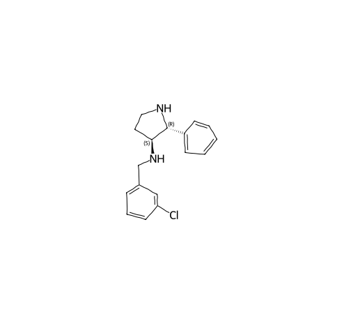 Clc1cccc(CN[C@H]2CCN[C@@H]2c2ccccc2)c1